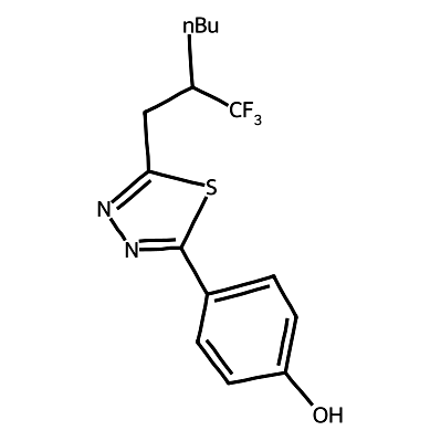 CCCCC(Cc1nnc(-c2ccc(O)cc2)s1)C(F)(F)F